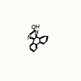 Oc1cnc2c3ccccc3c3ccccc3c2n1